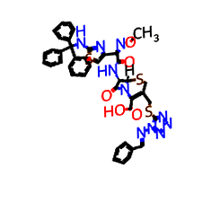 CO/N=C(\C(=O)N[C@@H]1C(=O)N2C(C(=O)O)=C(CSc3nnnn3N=Cc3ccccc3)CS[C@@H]12)c1csc(NC(c2ccccc2)(c2ccccc2)c2ccccc2)n1